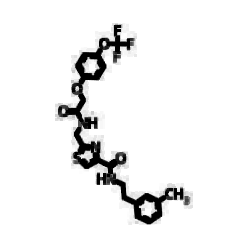 Cc1cccc(CCNC(=O)c2csc(CNC(=O)COc3ccc(OC(F)(F)F)cc3)n2)c1